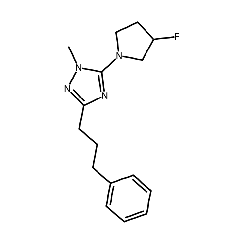 Cn1nc(CCCc2ccccc2)nc1N1CCC(F)C1